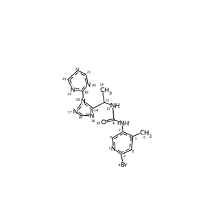 Cc1cc(Br)ncc1NC(=O)NC(C)c1ncnn1-c1ncccn1